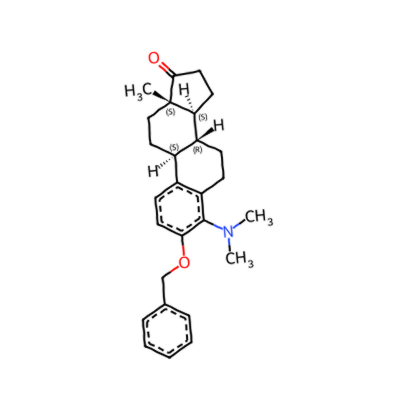 CN(C)c1c(OCc2ccccc2)ccc2c1CC[C@@H]1[C@@H]2CC[C@]2(C)C(=O)CC[C@@H]12